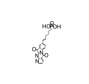 O=C1c2cc(C=CCCCCP(=O)(O)O)ccc2-n2c1nc1ncccc1c2=O